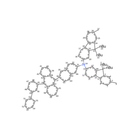 CCCCC1(CCCC)c2cc(C)ccc2-c2ccc(N(c3ccc4c(c3)C(CCCC)(CCCC)c3cc(C)ccc3-4)c3ccc4cc(-c5c6ccccc6c(-c6cccc(-c7ccccc7)c6)c6ccccc56)ccc4c3)cc21